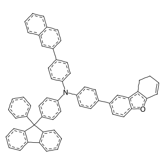 C1=Cc2oc3ccc(-c4ccc(N(c5ccc(-c6ccc7ccccc7c6)cc5)c5ccc(C6(c7ccccc7)c7ccccc7-c7ccccc76)cc5)cc4)cc3c2CC1